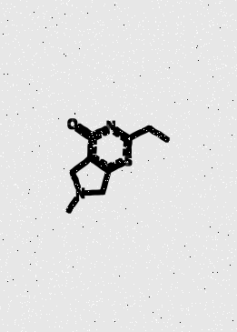 CCc1nc(=O)c2c(s1)CN(C)C2